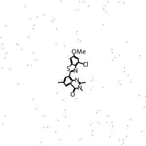 COc1cc(Cl)c2nc(-c3cc(C)cc4c(=O)n(C)c(C)nc34)sc2c1